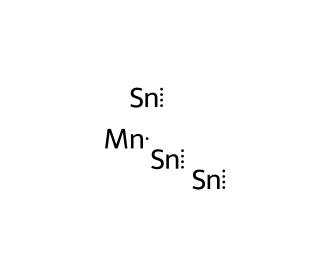 [Mn].[Sn].[Sn].[Sn]